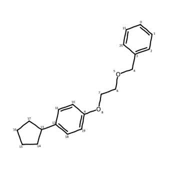 c1ccc(COCCOc2ccc(C3CCCC3)cc2)cc1